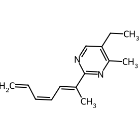 C=C/C=C\C=C(/C)c1ncc(CC)c(C)n1